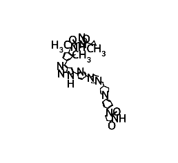 Cc1cc(-c2ncnc3[nH]c(-c4ccc(N5CCN(CC6CCN(c7ccc(N8CCC(=O)NC8=O)cc7)CC6)CC5)cn4)cc23)ccc1C(C)NC(=O)c1noc(C2(C)CC2)n1